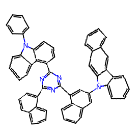 c1ccc(-n2c3ccccc3c3c(-c4nc(-c5cccc6ccccc56)nc(-c5cc(-n6c7ccccc7c7cc8ccccc8cc76)cc6ccccc56)n4)cccc32)cc1